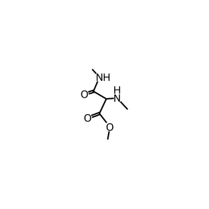 CNC(=O)C(NC)C(=O)OC